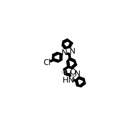 Nc1ccccc1NC(=O)/C=C\c1cccc(-c2nc3ccccc3n2-c2ccc(Cl)cc2)c1